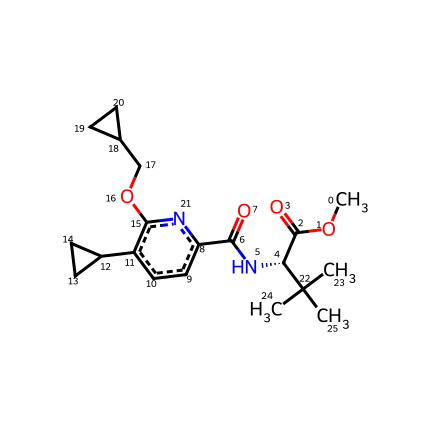 COC(=O)[C@@H](NC(=O)c1ccc(C2CC2)c(OCC2CC2)n1)C(C)(C)C